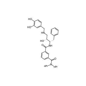 CCCN(CCC)C(=O)c1cccc(C(=O)N[C@@H](Cc2ccccc2)[C@H](O)CNCc2ccc(O)c(O)c2)c1